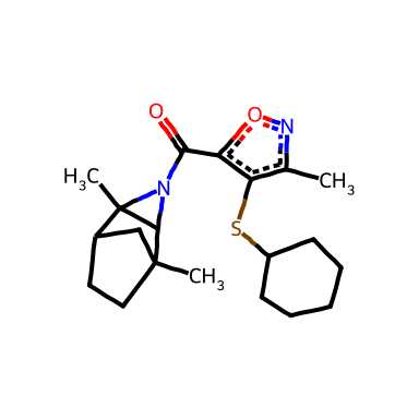 Cc1noc(C(=O)N2C3C4(C)CCC(C4)C32C)c1SC1CCCCC1